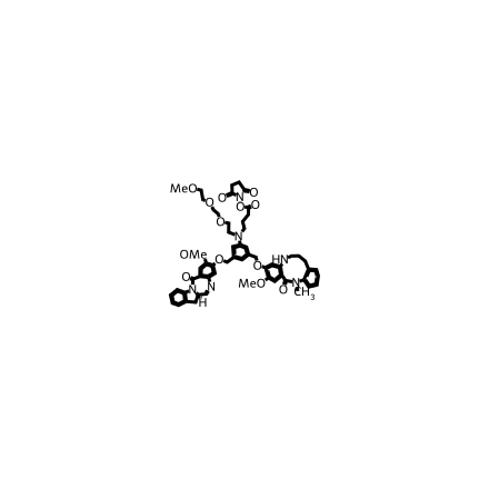 COCCOCCOCCN(CCCC(=O)ON1C(=O)CCC1=O)c1cc(COc2cc3c(cc2OC)C(=O)N2c4ccccc4C[C@H]2C=N3)cc(COc2cc3c(cc2OC)C(=O)N(C)c2ccccc2CCCN3)c1